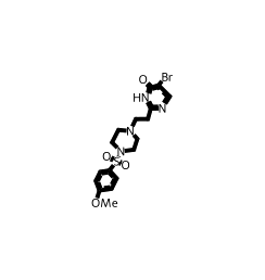 COc1ccc(S(=O)(=O)N2CCN(CCc3ncc(Br)c(=O)[nH]3)CC2)cc1